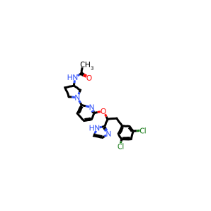 CC(=O)NC1CCN(c2cccc(OC(Cc3cc(Cl)cc(Cl)c3)c3ncc[nH]3)n2)C1